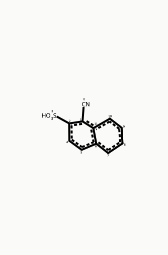 N#Cc1c(S(=O)(=O)O)ccc2ccccc12